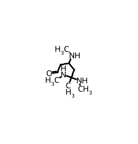 CNC(CC=O)CC(C)(NC)NC